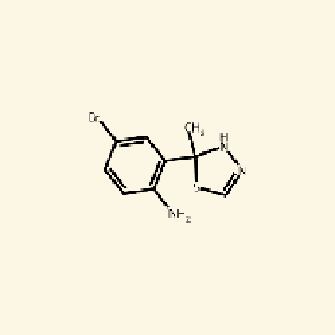 CC1(c2cc(Br)ccc2N)NN=CS1